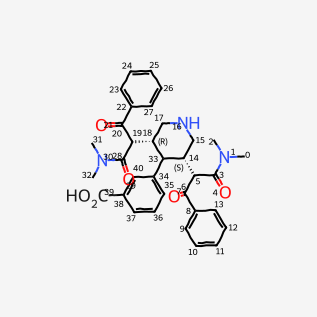 CN(C)C(=O)C(C(=O)c1ccccc1)[C@H]1CNC[C@@H](C(C(=O)c2ccccc2)C(=O)N(C)C)C1c1cccc(C(=O)O)c1